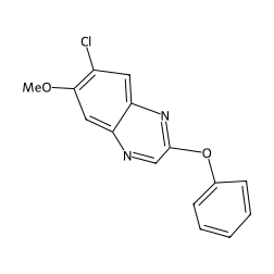 COc1cc2ncc(Oc3ccccc3)nc2cc1Cl